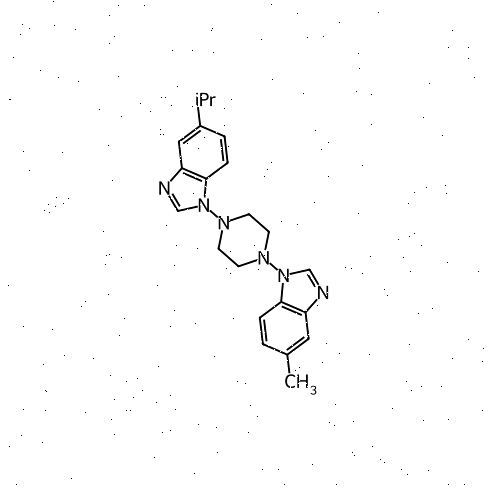 Cc1ccc2c(c1)ncn2N1CCN(n2cnc3cc(C(C)C)ccc32)CC1